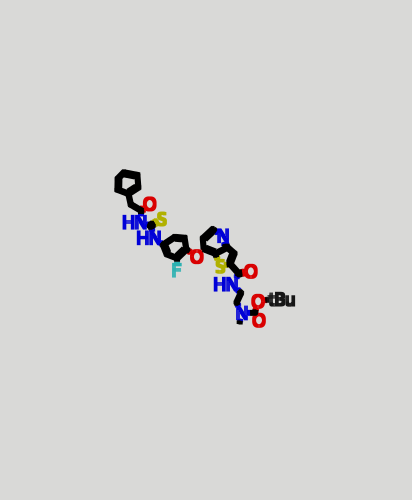 CN(CCNC(=O)c1cc2nccc(Oc3ccc(NC(=S)NC(=O)Cc4ccccc4)cc3F)c2s1)C(=O)OC(C)(C)C